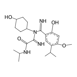 COc1cc(O)c(C(=N)N(C(=N)C(=O)NC(C)C)C2CCC(O)CC2)cc1C(C)C